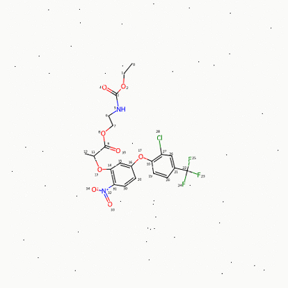 CCOC(=O)NCCOC(=O)C(C)Oc1cc(Oc2ccc(C(F)(F)F)cc2Cl)ccc1[N+](=O)[O-]